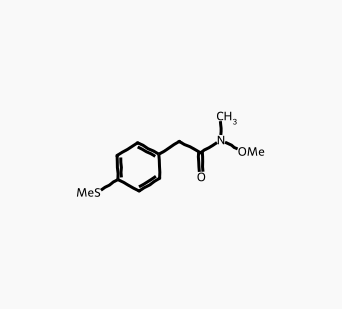 CON(C)C(=O)Cc1ccc(SC)cc1